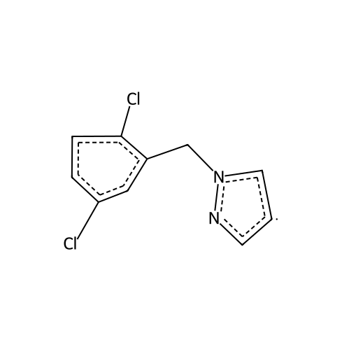 Clc1ccc(Cl)c(Cn2c[c]cn2)c1